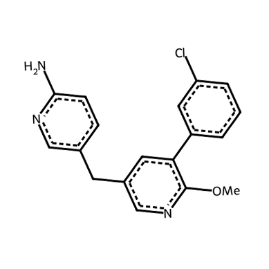 COc1ncc(Cc2ccc(N)nc2)cc1-c1cccc(Cl)c1